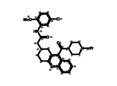 CCCN1CCN(C(=O)c2c3c(nc4ccccc24)CCN(CC(=O)Nc2cc(Cl)ccc2OC)C3)CC1